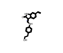 C=Cc1ccc2c(c1)NC(=O)/C2=C/Nc1ccc(CCO)cc1